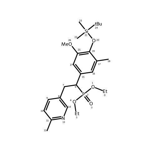 CCOP(=O)(OCC)C(Cc1ccc(C)nc1)c1cc(C)c(O[Si](C)(C)C(C)(C)C)c(OC)c1